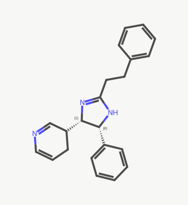 C1=CN=CC([C@@H]2N=C(CCc3ccccc3)N[C@@H]2c2ccccc2)C1